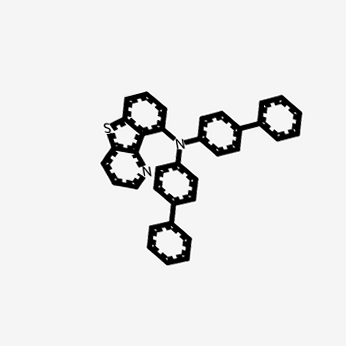 c1ccc(-c2ccc(N(c3ccc(-c4ccccc4)cc3)c3cccc4sc5cccnc5c34)cc2)cc1